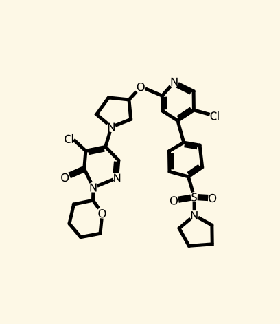 O=c1c(Cl)c(N2CCC(Oc3cc(-c4ccc(S(=O)(=O)N5CCCC5)cc4)c(Cl)cn3)C2)cnn1C1CCCCO1